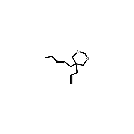 C=CCC1(CC=CCC)COCOC1